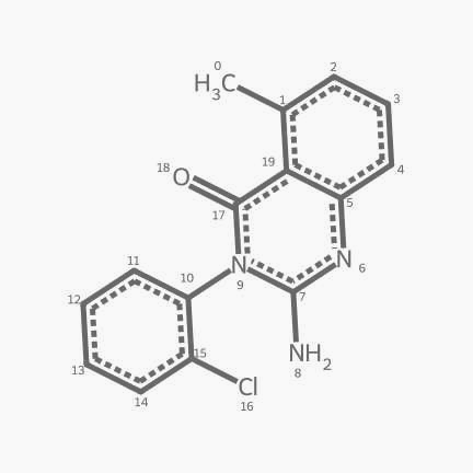 Cc1cccc2nc(N)n(-c3ccccc3Cl)c(=O)c12